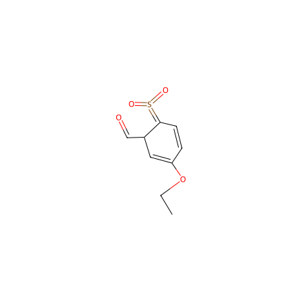 CCOC1=CC(C=O)C(=S(=O)=O)C=C1